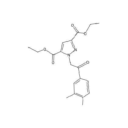 CCOC(=O)c1cc(C(=O)OCC)n(CC(=O)c2ccc(C)c(C)c2)n1